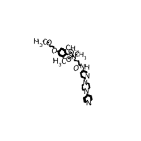 COCCOc1cc(C)c(S(=O)(=O)N(C)CCC(=O)Nc2ccc(N3CCN(c4ccncc4)CC3)nc2)c(C)c1